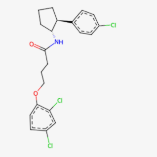 O=C(CCCOc1ccc(Cl)cc1Cl)N[C@@H]1CCC[C@H]1c1ccc(Cl)cc1